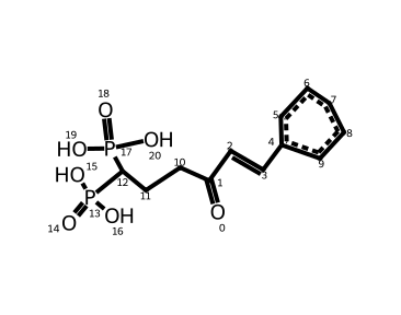 O=C(C=Cc1ccccc1)CCC(P(=O)(O)O)P(=O)(O)O